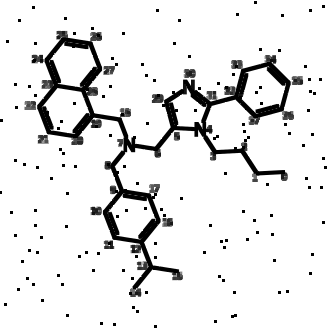 CCCCn1c(CN(Cc2ccc(C(C)C)cc2)Cc2cccc3ccccc23)cnc1-c1ccccc1